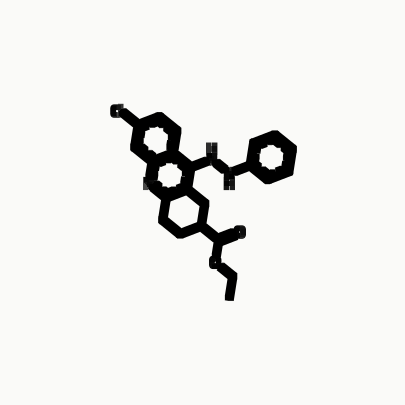 CCOC(=O)C1CCc2nc3cc(Cl)ccc3c(NNc3ccccc3)c2C1